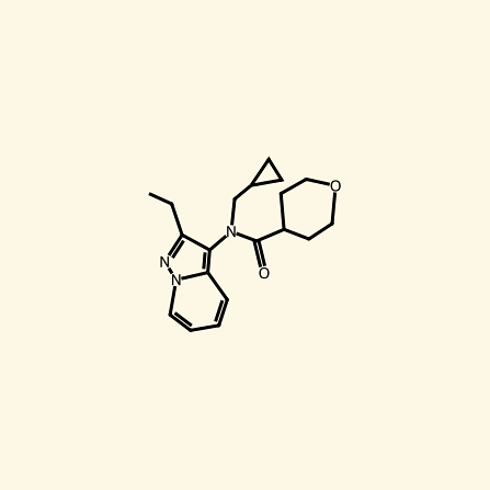 CCc1nn2ccccc2c1N(CC1CC1)C(=O)C1CCOCC1